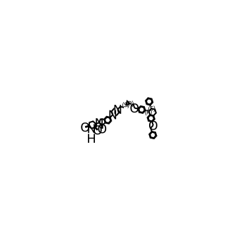 O=C1CCC(N2Cc3cc(N4CCN(CC[C@@H]5C[C@H]5COc5ccc([C@@H]6c7ccc(OCc8ccccc8)cc7CC[C@@H]6c6ccccc6)cc5)CC4)ccc3C2=O)C(=O)N1